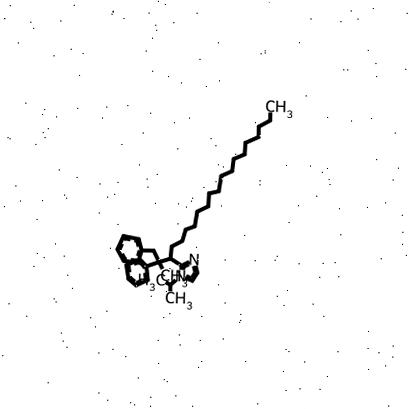 CCCCCCCCCCCCCCCCCC(c1nccn1C(C)C)C(C)(Cc1ccccc1)c1ccccc1